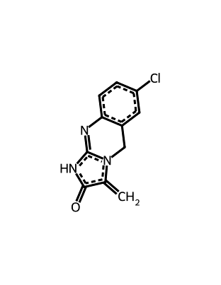 C=c1c(=O)[nH]c2n1Cc1cc(Cl)ccc1N=2